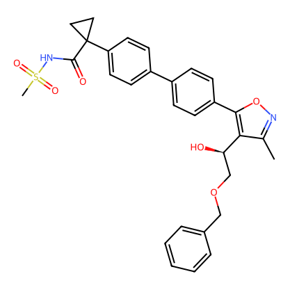 Cc1noc(-c2ccc(-c3ccc(C4(C(=O)NS(C)(=O)=O)CC4)cc3)cc2)c1[C@H](O)COCc1ccccc1